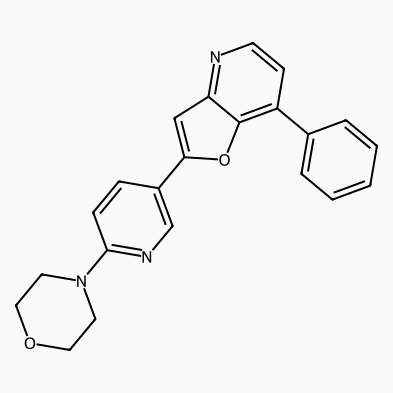 c1ccc(-c2ccnc3cc(-c4ccc(N5CCOCC5)nc4)oc23)cc1